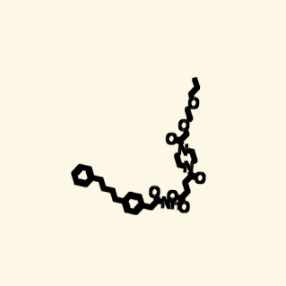 CCCOCCOCC(=O)N1CCN(C(=O)CCC(=O)ONC(=O)Cc2ccc(CCCCc3ccccc3)cc2)CC1